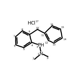 CN(C)Pc1ccccc1Cc1ccccc1.Cl